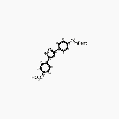 CCCCCOc1ccc(-c2cc(-c3ccc(C(=O)O)cc3)no2)cc1